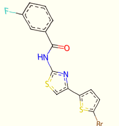 O=C(Nc1nc(-c2ccc(Br)s2)cs1)c1cccc(F)c1